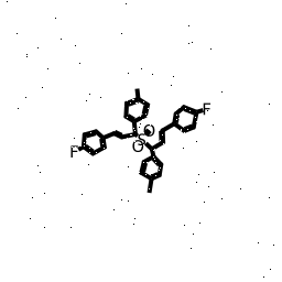 Cc1ccc(C(C=Cc2ccc(F)cc2)S(=O)(=O)C(C=Cc2ccc(F)cc2)c2ccc(C)cc2)cc1